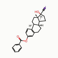 C[C@]12CC[C@@H]3c4ccc(OC(=O)c5ccccc5)cc4CC[C@H]3[C@@H]1CC[C@@]2(O)C#I